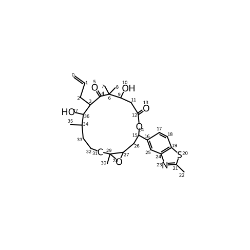 C=CCC1C(=O)C(C)(C)C(O)CC(=O)OC(c2ccc3sc(C)nc3c2)CC2OC2(C)CCCC(C)C1O